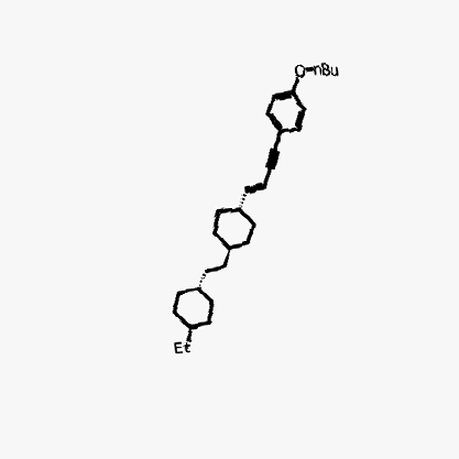 CCCCOc1ccc(C#CC=C[C@H]2CC[C@H](CC[C@H]3CC[C@H](CC)CC3)CC2)cc1